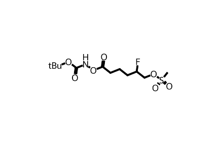 CC(C)(C)OC(=O)NOC(=O)CCCC(F)COS(C)(=O)=O